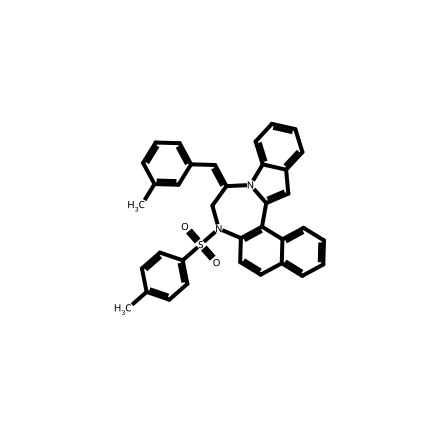 Cc1ccc(S(=O)(=O)N2CC(=Cc3cccc(C)c3)n3c(cc4ccccc43)-c3c2ccc2ccccc32)cc1